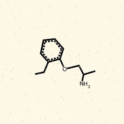 CCc1ccccc1OCC(C)N